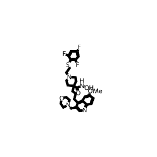 COc1ccc2ncc(CN3CCOCC3)c(CCCC3(C(=O)NO)CCN(CCSc4c(F)cc(F)cc4F)CC3)c2c1